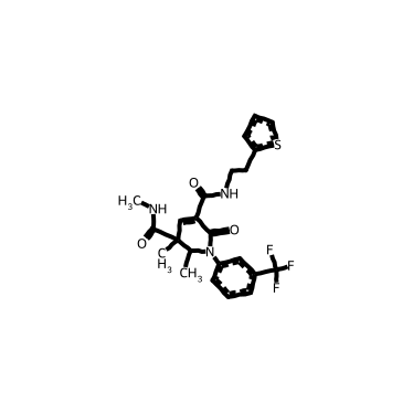 CNC(=O)C1(C)C=C(C(=O)NCCc2cccs2)C(=O)N(c2cccc(C(F)(F)F)c2)C1C